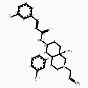 C=CCN1CC[C@@]2(c3cccc(O)c3)C[C@@H](NC(=O)C=Cc3cccc(O)c3)CC[C@]2(OC)C1